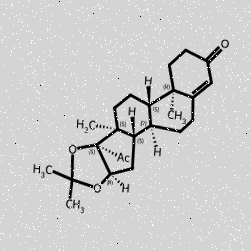 CC(=O)[C@@]12OC(C)(C)O[C@@H]1C[C@H]1[C@@H]3CCC4=CC(=O)CC[C@]4(C)[C@H]3CC[C@@]12C